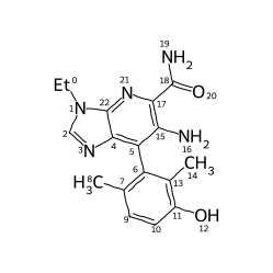 CCn1cnc2c(-c3c(C)ccc(O)c3C)c(N)c(C(N)=O)nc21